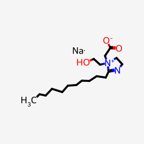 CCCCCCCCCCCC1=NCC[N+]1(CCO)CC(=O)[O-].[Na]